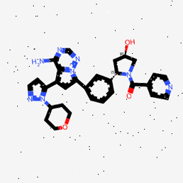 Nc1ncnn2c(-c3cccc([C@@H]4C[C@@H](O)CN4C(=O)c4ccncc4)c3)cc(-c3ccnn3C3CCOCC3)c12